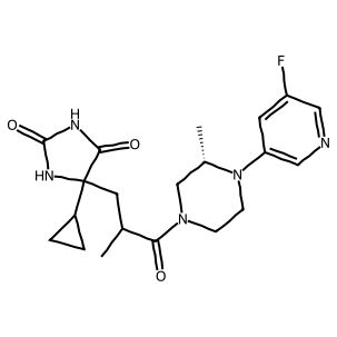 CC(CC1(C2CC2)NC(=O)NC1=O)C(=O)N1CCN(c2cncc(F)c2)[C@@H](C)C1